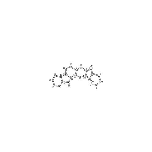 c1ccc2c(c1)oc1cc3ccc4c5ccccc5sc4c3cc12